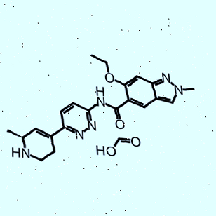 CCOc1cc2nn(C)cc2cc1C(=O)Nc1ccc(C2=C[C@H](C)NCC2)nn1.O=CO